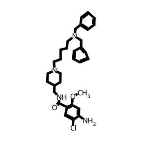 COc1cc(N)c(Cl)cc1C(=O)NCC1CCN(CCCCCN(Cc2ccccc2)Cc2ccccc2)CC1